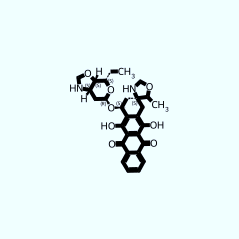 CC[C@@H]1O[C@@H](O[C@H]2C[C@]3(Cc4c(O)c5c(c(O)c42)C(=O)c2ccccc2C5=O)NCOC3C)C[C@@H]2NCO[C@@H]21